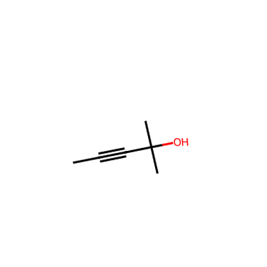 CC#CC(C)(C)O